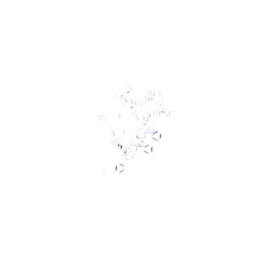 COCCOCCCNCCC(=O)N[C@@H](Cc1ccc(O)cc1)C(=O)N[C@@H](Cc1ccccc1)C(=O)N(C)[C@@H](CC(C)C)C(=O)N[C@@H](Cc1ccccc1)C(=O)N[C@@H](CCCNC(=N)N)C(=O)N1CCC[C@H]1C(=O)N(C)[C@@H](CCCNC(=N)N)C(=O)N[C@@H](CC(N)=O)C(N)=O